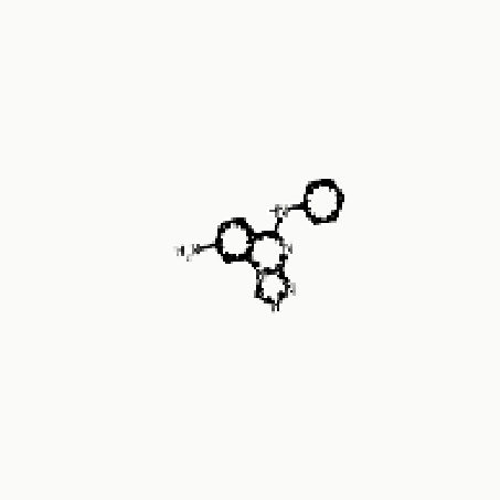 Nc1ccc2c(Nc3ccccc3)nc3nncn3c2c1